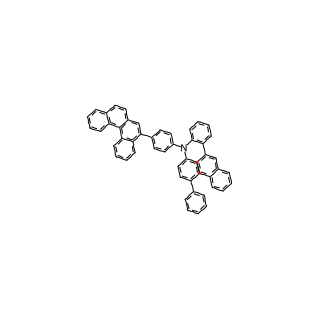 c1ccc(-c2ccc(N(c3ccc(-c4cc5ccc6ccccc6c5c5ccccc45)cc3)c3ccccc3-c3ccc4ccccc4c3)cc2)cc1